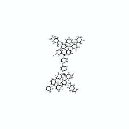 Fc1cccc(N(c2ccc(-c3ccc(N(c4cccc(F)c4)c4ccc5c(c4)C(c4ccccc4)(c4ccc(Oc6ccc7c(c6)CC7)cc4)c4cc(-c6ccccc6)ccc4-5)cc3)cc2)c2ccc3c(c2)C(c2ccccc2)(c2ccc(Oc4ccc5c(c4)CC5)cc2)c2cc(-c4ccccc4)ccc2-3)c1